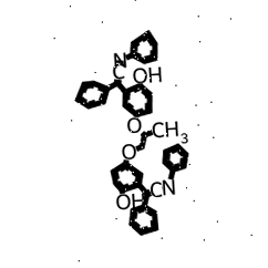 CC(COc1ccc(O)c(C(=C=Nc2ccccc2)c2ccccc2)c1)Oc1ccc(O)c(C(=C=Nc2ccccc2)c2ccccc2)c1